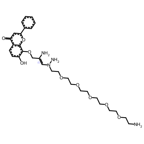 NCCOCCOCCOCCOCCOCCN(N)/C=C(\N)COc1c(O)ccc2c(=O)cc(-c3ccccc3)oc12